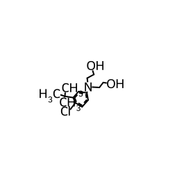 CC(C)(C)c1cc(N(CCO)CCO)ccc1Cl